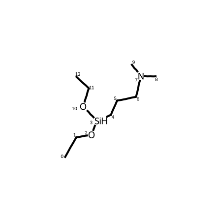 CCO[SiH](CCCN(C)C)OCC